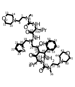 CC(C)[C@H](NC(=O)N(C)CCN1CCOCC1)C(=O)NN(Cc1cccs1)C[C@H](O)C(C(=O)[C@@H](NC(=O)N(C)CCN1CCOCC1)C(C)C)C(N)c1ccccc1